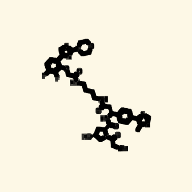 Cc1ncsc1-c1ccc([C@H](CC(=O)NCCCCNC(=O)COc2c(-c3csc(N4CCOCC4)n3)ccc(F)c2F)NC(=O)[C@@H]2C[C@@H](O)CN2C(=O)CC(C)(C)C)cc1